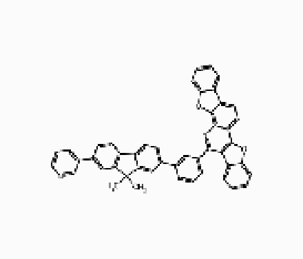 CC1(C)c2cc(-c3cccnc3)ccc2-c2ccc(-c3cccc(-c4nc5c(ccc6c7ccccc7oc65)c5oc6ccccc6c45)c3)cc21